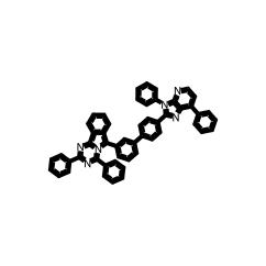 c1ccc(-c2nc(-c3ccccc3)n3c(-c4cccc(-c5ccc(-c6nc7c(-c8ccccc8)ccnc7n6-c6ccccc6)cc5)c4)c4ccccc4c3n2)cc1